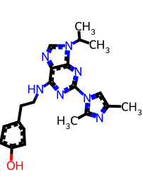 Cc1cn(-c2nc(NCCc3ccc(O)cc3)c3ncn(C(C)C)c3n2)c(C)n1